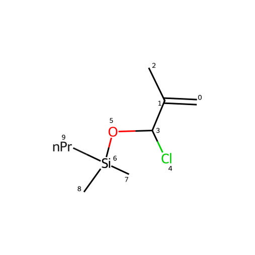 C=C(C)C(Cl)O[Si](C)(C)CCC